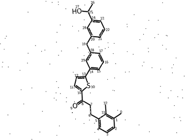 Cc1cccc(CCC(=O)c2ccc(-c3cccc(Cc4cccc(C(C)O)c4)c3)s2)c1C